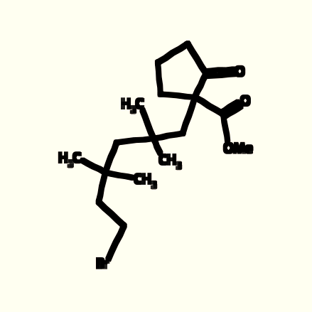 COC(=O)C1(CC(C)(C)CC(C)(C)CCBr)CCCC1=O